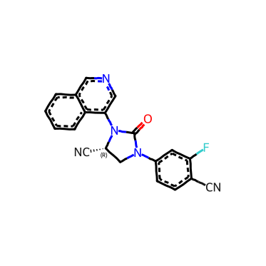 N#Cc1ccc(N2C[C@H](C#N)N(c3cncc4ccccc34)C2=O)cc1F